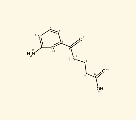 Nc1nccc(C(=O)NCCC(=O)O)n1